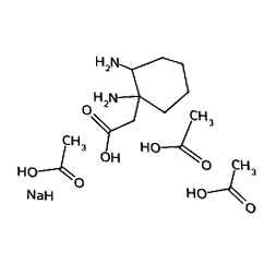 CC(=O)O.CC(=O)O.CC(=O)O.NC1CCCCC1(N)CC(=O)O.[NaH]